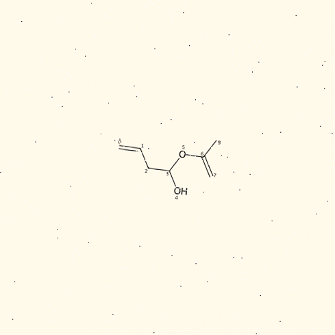 C=CCC(O)OC(=C)C